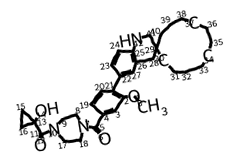 COc1cc(C(=O)N2CCN(C(=O)C3(O)CC3)CC2)ccc1-c1ccc2c(c1)CC1(CCCCCCCCCCC1)CN2